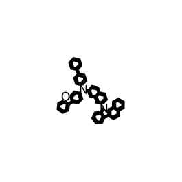 c1ccc(-c2ccc(N(c3ccc4ccc(-n5c6ccccc6c6ccc7ccccc7c65)cc4c3)c3ccc4c(c3)oc3ccccc34)cc2)cc1